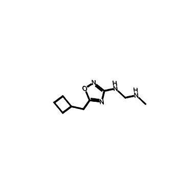 CNCNc1noc(CC2CCC2)n1